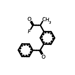 CC(C(=O)F)c1cccc(C(=O)c2ccccc2)c1